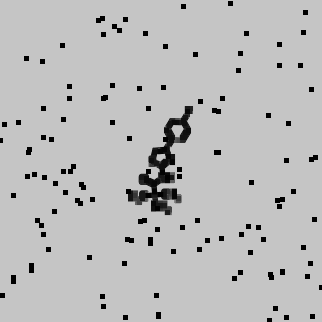 CC(C)(N)C(=O)Nc1nc(-c2ccc(F)cc2)cs1